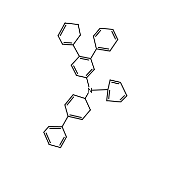 C1=CCCC(c2ccc(N(c3ccccc3)C3C=CC(c4ccccc4)=CC3)cc2-c2ccccc2)=C1